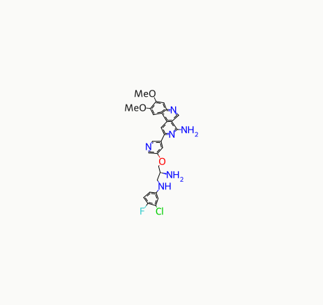 COc1cc2ncc3c(N)nc(-c4cncc(OC[C@@H](N)CNc5ccc(F)c(Cl)c5)c4)cc3c2cc1OC